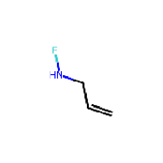 C=CCNF